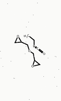 C(OCC1CO1)C1CO1.[CH2]CN=C=O